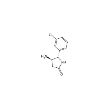 N[C@@H]1CC(=O)N[C@H]1c1cccc(Cl)c1